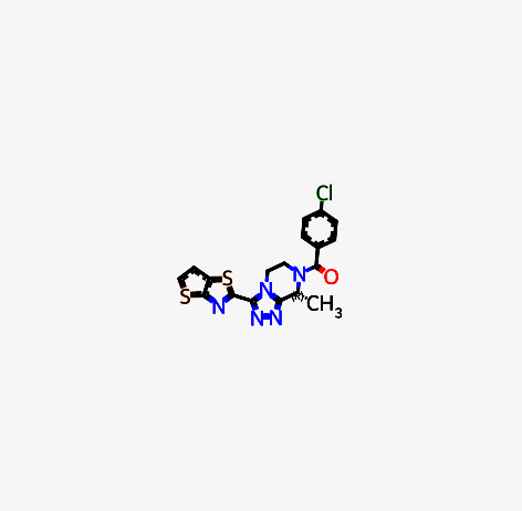 C[C@@H]1c2nnc(-c3nc4sccc4s3)n2CCN1C(=O)c1ccc(Cl)cc1